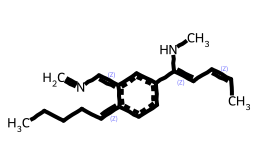 C=N/C=c1/cc(/C(=C/C=C\C)NC)cc/c1=C/CCCC